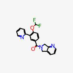 O=C(c1ccc(OC(F)F)c(-c2ccccn2)c1)N1Cc2cccnc2C1